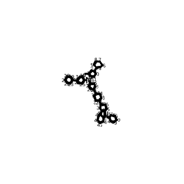 Cc1cc(C2=CCCC=C2)ccc1N(c1ccc(-c2ccccc2)cc1)c1ccc(-c2ccc(-c3ccc4c(c3)c3ccccc3n4-c3ccccc3)cc2)cc1